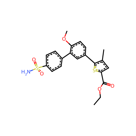 CCOC(=O)c1cc(C)c(-c2ccc(OC)c(-c3ccc(S(N)(=O)=O)cc3)c2)s1